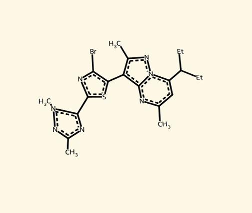 CCC(CC)c1cc(C)nc2c(-c3sc(-c4nc(C)nn4C)nc3Br)c(C)nn12